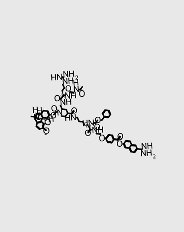 COc1ccc2c3c1O[C@H]1C(OC(=O)N4CCC(C(=O)NCCCC[C@H](NC(=O)OCc5ccccc5)C(=O)NCCOc5ccc(C(=O)Oc6ccc7cc(C(=N)N)ccc7c6)cc5)CC4CNC(=O)[C@@H](CCCNC(=N)N)NC(=O)CNC(C)=O)=CC[C@H]4[C@@H](C2)N(C)CC[C@]314